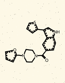 O=C(c1ccc2[nH]cc(-c3cccs3)c2c1)N1CCN(c2ccco2)CC1